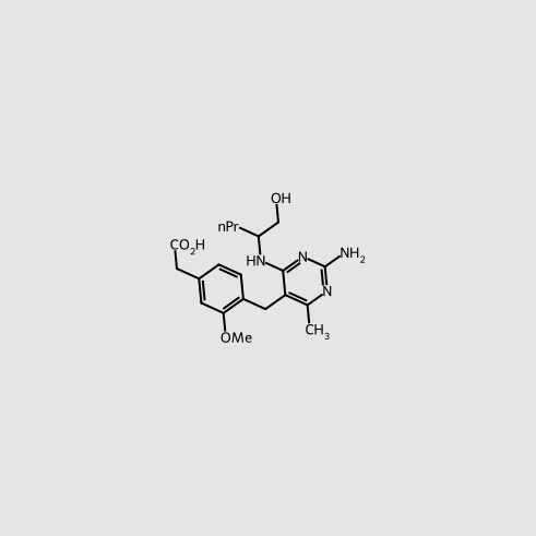 CCCC(CO)Nc1nc(N)nc(C)c1Cc1ccc(CC(=O)O)cc1OC